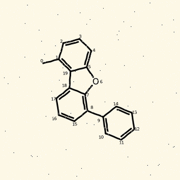 Cc1cccc2oc3c(-c4ccccc4)cccc3c12